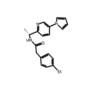 CCc1ccc(CC(=O)N[C@H](C)c2ccc(-n3cccc3)cn2)cc1